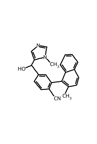 Cc1ccc2ccccc2c1-c1cc(C(O)c2cncn2C)ccc1C#N